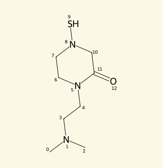 CN(C)CCN1CCN(S)CC1=O